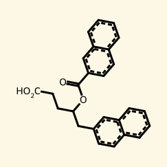 O=C(O)CCC(Cc1ccc2ccccc2c1)OC(=O)c1ccc2ccccc2c1